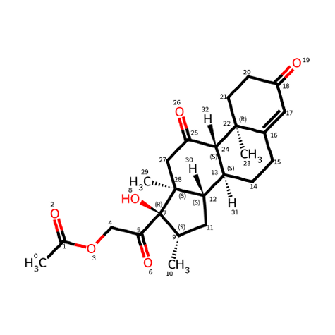 CC(=O)OCC(=O)[C@@]1(O)[C@@H](C)C[C@H]2[C@@H]3CCC4=CC(=O)CC[C@]4(C)[C@H]3C(=O)C[C@@]21C